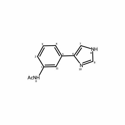 CC(=O)Nc1cccc(-c2c[nH]cn2)c1